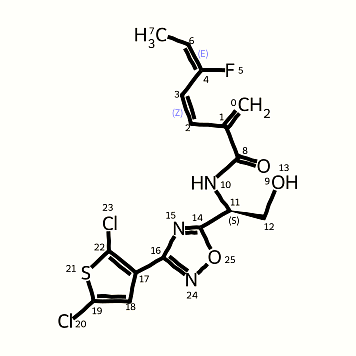 C=C(/C=C\C(F)=C/C)C(=O)N[C@@H](CO)c1nc(-c2cc(Cl)sc2Cl)no1